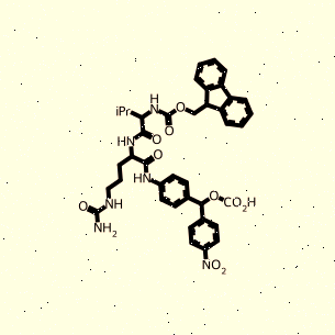 CC(C)C(NC(=O)OCC1c2ccccc2-c2ccccc21)C(=O)NC(CCCNC(N)=O)C(=O)Nc1ccc(C(OC(=O)O)c2ccc([N+](=O)[O-])cc2)cc1